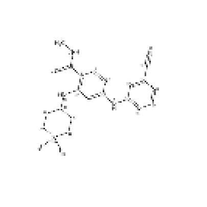 CNC(=O)c1cnc(Nc2cc(C#N)ccn2)cc1NC1CCC(F)(F)CC1